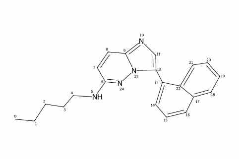 CCCCCNc1ccc2ncc(-c3cccc4ccccc34)n2n1